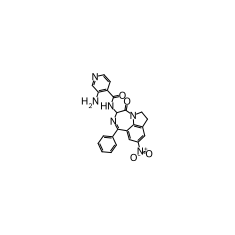 Nc1cnccc1C(=O)NC1N=C(c2ccccc2)c2cc([N+](=O)[O-])cc3c2N(CC3)C1=O